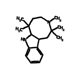 CN1CCC(C)(C)C2Nc3ccccc3C2CC1(C)C